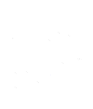 COc1cc2ncnc(Nc3ccc(F)c(Cl)c3)c2cc1NC(=O)/C=C/C[N+](C)(C)Cc1c([N+](=O)[O-])ncn1C.[Br-]